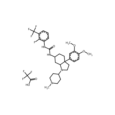 COc1ccc(C23CCC(NC(=O)Nc4cccc(C(F)(F)F)c4F)CC2N(C2CCN(C)CC2)CC3)cc1OC.O=C(O)C(F)(F)F